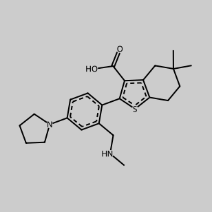 CNCc1cc(N2CCCC2)ccc1-c1sc2c(c1C(=O)O)CC(C)(C)CC2